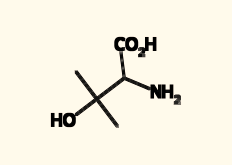 CC(C)(O)C(N)C(=O)O